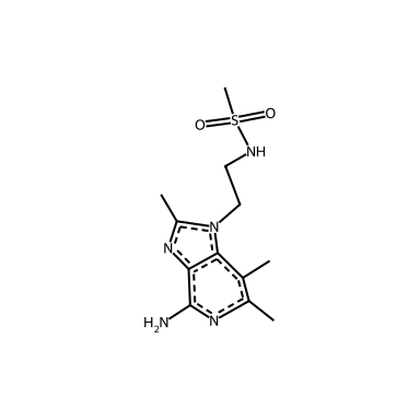 Cc1nc(N)c2nc(C)n(CCNS(C)(=O)=O)c2c1C